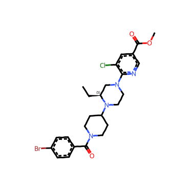 CC[C@H]1CN(c2ncc(C(=O)OC)cc2Cl)CCN1C1CCN(C(=O)c2ccc(Br)cc2)CC1